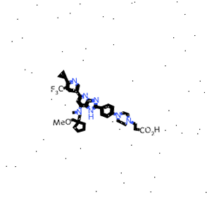 COCC1(CN(C)c2cc(-c3cnc(C4CC4)c(C(F)(F)F)c3)nc3nc(-c4ccc(N5CCN(CCC(=O)O)CC5)cc4)[nH]c23)CCCC1